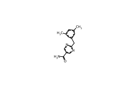 Cc1cc(C)cc(Cc2ncc(C(N)=O)cn2)c1